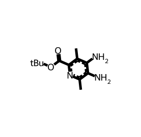 Cc1nc(C(=O)OC(C)(C)C)c(C)c(N)c1N